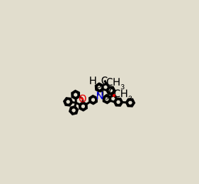 CC1(C)c2cc(-c3ccccc3)ccc2-c2ccc(N(c3ccc(-c4cccc5c4Oc4ccccc4C5(c4ccccc4)c4ccccc4)cc3)c3cccc4c3-c3ccccc3C4(C)C)cc21